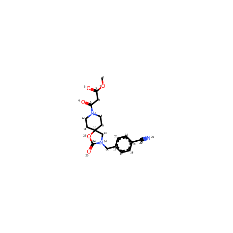 COC(=O)CC(=O)N1CCC2(CC1)CN(Cc1ccc(C#N)cc1)C(=O)O2